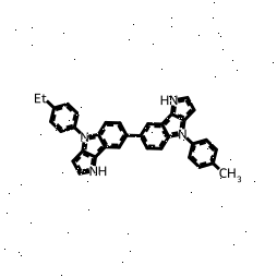 CCc1ccc(-n2c3ccc(-c4ccc5c(c4)c4[nH]ccc4n5-c4ccc(C)cc4)cc3c3[nH]ccc32)cc1